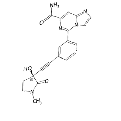 CN1CC[C@](O)(C#Cc2cccc(-c3nc(C(N)=O)cc4nccn34)c2)C1=O